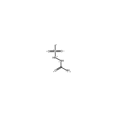 CS(=O)(=O)NNC(N)=O